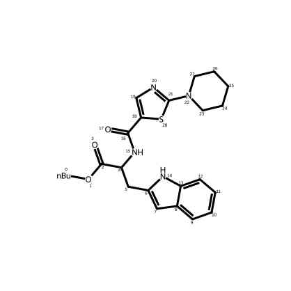 CCCCOC(=O)C(Cc1cc2ccccc2[nH]1)NC(=O)c1cnc(N2CCCCC2)s1